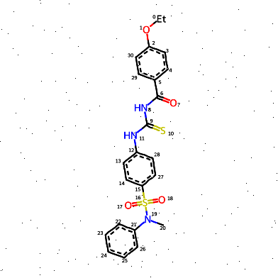 CCOc1ccc(C(=O)NC(=S)Nc2ccc(S(=O)(=O)N(C)c3ccccc3)cc2)cc1